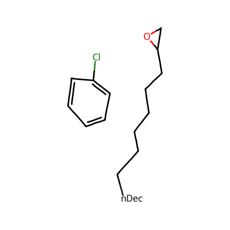 CCCCCCCCCCCCCCCCC1CO1.Clc1ccccc1